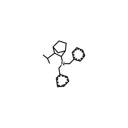 CC(C)C1C2CCC(C2)C1N(Cc1ccccc1)Cc1ccccc1